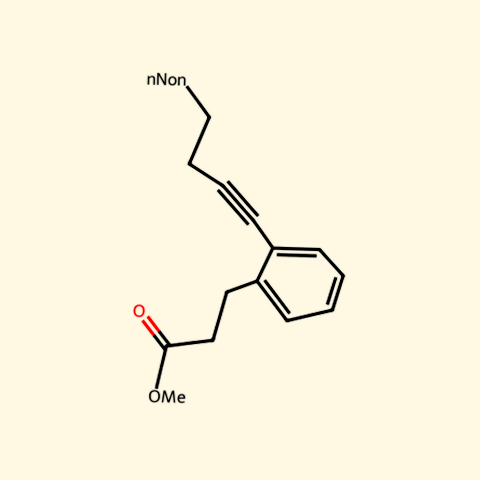 CCCCCCCCCCCC#Cc1ccccc1CCC(=O)OC